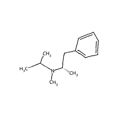 CC(C)N(C)[C@@H](C)Cc1ccccc1